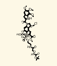 COC(=O)c1cc2c3c(cc(OP(=O)(O)OP(=O)(O)OCCNC(=O)CONC(=O)OC(C)(C)C)c2[nH]1)N(C(=O)c1cc2cc(OC)c(OC)c(OC)c2[nH]1)C[C@H]3CCl